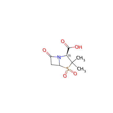 CC1(C)[C@H](C(=O)O)N2C(=O)CC2S1(=O)=O